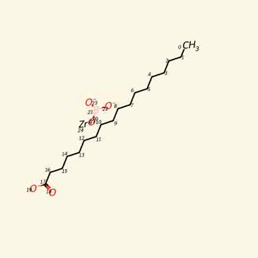 CCCCCCCCCCCCCCCCCC(=O)[O-].[O-]B([O-])[O-].[Zr+4]